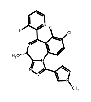 C[C@@H]1N=C(c2ncccc2F)c2c(ccc(Cl)c2Cl)-n2c(-c3cnn(C)c3)nnc21